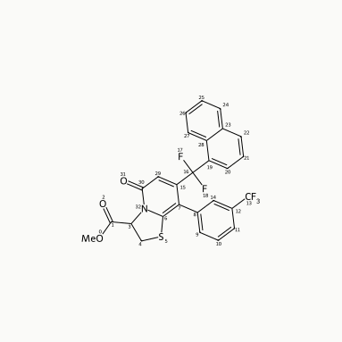 COC(=O)C1CSc2c(-c3cccc(C(F)(F)F)c3)c(C(F)(F)c3cccc4ccccc34)cc(=O)n21